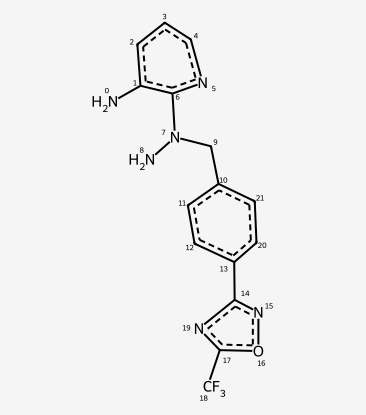 Nc1cccnc1N(N)Cc1ccc(-c2noc(C(F)(F)F)n2)cc1